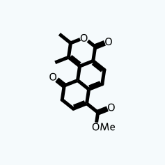 COC(=O)C1=CCC(=O)C2C1=CC=C1C(=O)OC(C)C(C)=C12